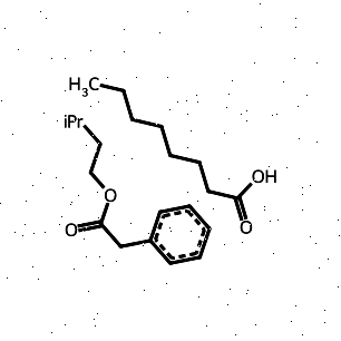 CC(C)CCOC(=O)Cc1ccccc1.CCCCCCCC(=O)O